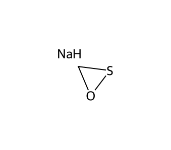 C1OS1.[NaH]